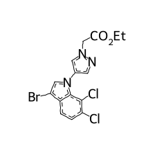 CCOC(=O)Cn1cc(-n2cc(Br)c3ccc(Cl)c(Cl)c32)cn1